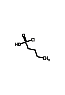 CCCCP(=O)(O)Cl